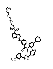 O=C(NCc1cccc(C(F)(F)F)c1)c1ccnc(-c2cc(C3CCCCC3)ccc2NC(=O)c2cccc(CN3CCc4c(C(=O)NCCOCCOCCO)cccc43)c2)c1